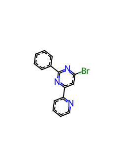 Brc1cc(-c2ccccn2)nc(-c2ccccc2)n1